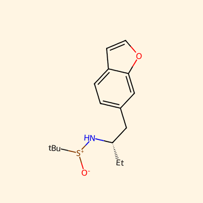 CC[C@@H](Cc1ccc2ccoc2c1)N[S+]([O-])C(C)(C)C